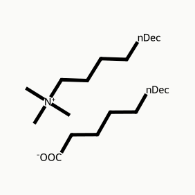 CCCCCCCCCCCCCCC(=O)[O-].CCCCCCCCCCCCCC[N+](C)(C)C